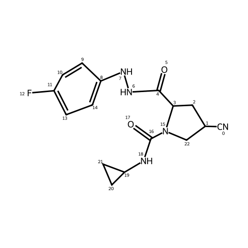 N#CC1CC(C(=O)NNc2ccc(F)cc2)N(C(=O)NC2CC2)C1